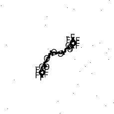 CC(C)(CCOCCC(=O)Oc1c(F)c(F)c(F)c(F)c1F)OCCOC(C)(C)CCC(=O)Oc1c(F)c(F)c(F)c(F)c1F